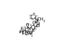 CN(C(=O)Oc1cc(-n2c(=O)cc(C(F)(F)F)n(C)c2=O)c(F)cc1Cl)C1CCCCC1